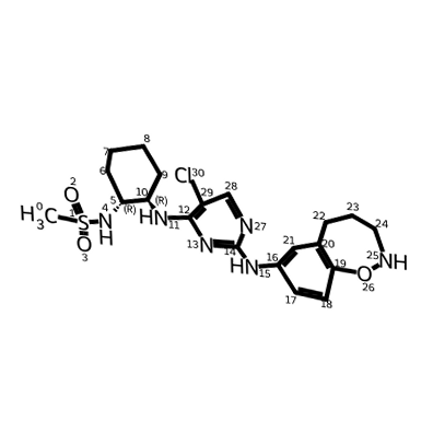 CS(=O)(=O)N[C@@H]1CCCC[C@H]1Nc1nc(Nc2ccc3c(c2)CCCNO3)ncc1Cl